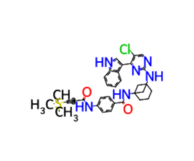 CS(C)(C)C#CC(=O)Nc1ccc(C(=O)NC23CCCC(Nc4ncc(Cl)c(-c5c[nH]c6ccccc56)n4)(C2)C3)cc1